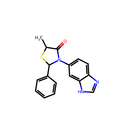 CC1SC(c2ccccc2)N(c2ccc3nc[nH]c3c2)C1=O